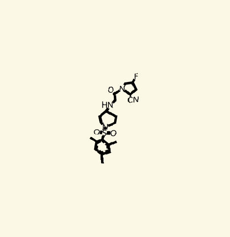 Cc1cc(C)c(S(=O)(=O)N2CCC(NCC(=O)N3CC(F)C[C@H]3C#N)CC2)c(C)c1